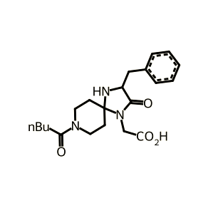 CCCCC(=O)N1CCC2(CC1)NC(Cc1ccccc1)C(=O)N2CC(=O)O